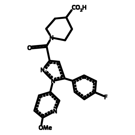 COc1ccc(-n2nc(C(=O)N3CCC(C(=O)O)CC3)cc2-c2ccc(F)cc2)cn1